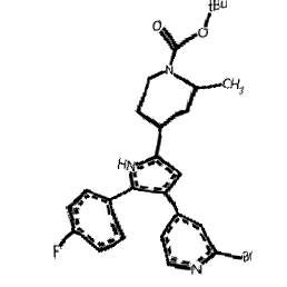 CC1CC(c2cc(-c3ccnc(Br)c3)c(-c3ccc(F)cc3)[nH]2)CCN1C(=O)OC(C)(C)C